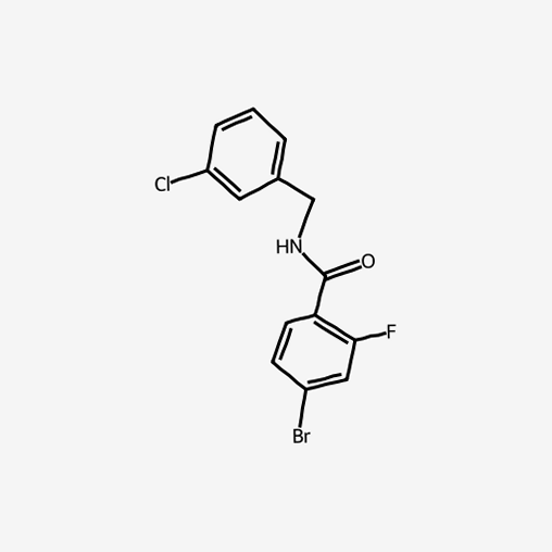 O=C(NCc1cccc(Cl)c1)c1ccc(Br)cc1F